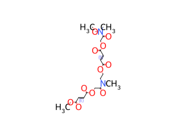 COC(=O)/C=C/C(=O)OCC(=O)N(C)CCOC(=O)/C=C/C(=O)OCC(=O)N(C)OC